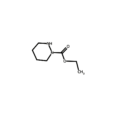 CCOC(=O)N1CCCCN1